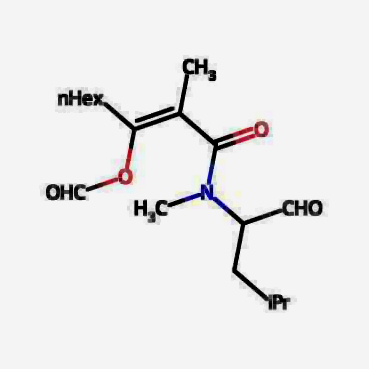 CCCCCC/C(OC=O)=C(\C)C(=O)N(C)C(C=O)CC(C)C